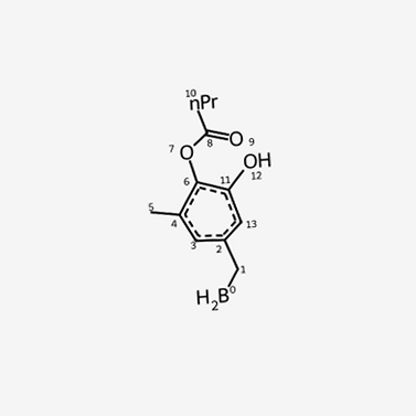 BCc1cc(C)c(OC(=O)CCC)c(O)c1